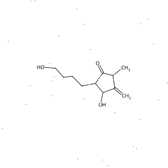 C=C1C(C)C(=O)C(CCCCO)C1O